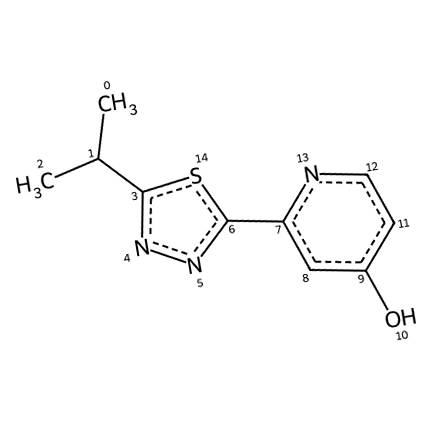 CC(C)c1nnc(-c2cc(O)ccn2)s1